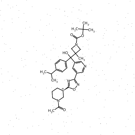 CC(=O)N1CCC[C@@H](c2nc(-c3cncc(C(O)(c4ccc(C(C)C)cc4)C4(C)CN(C(=O)OC(C)(C)C)C4)c3)no2)C1